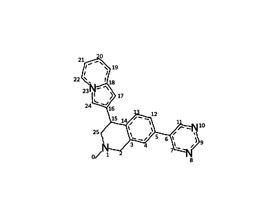 CN1Cc2cc(-c3cncnc3)ccc2C(c2cc3ccccn3c2)C1